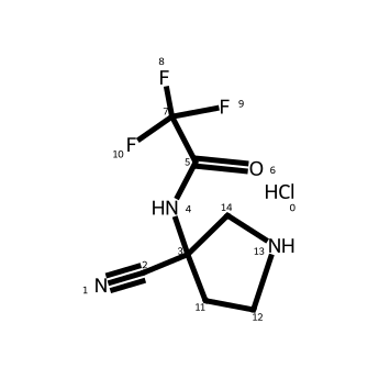 Cl.N#CC1(NC(=O)C(F)(F)F)CCNC1